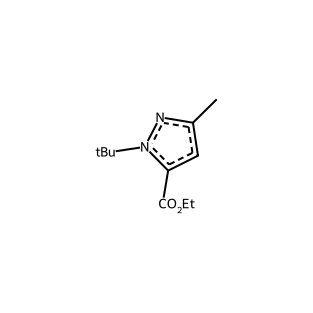 CCOC(=O)c1cc(C)nn1C(C)(C)C